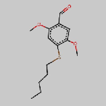 CCCCCSc1cc(OC)c(C=O)cc1OC